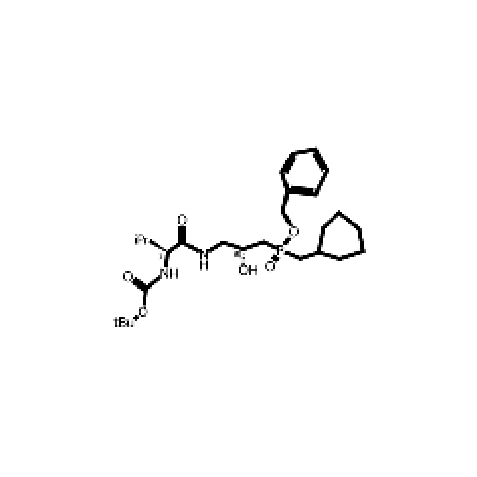 CC(C)[C@H](NC(=O)OC(C)(C)C)C(=O)NC[C@@H](O)CP(=O)(CC1CCCCC1)OCc1ccccc1